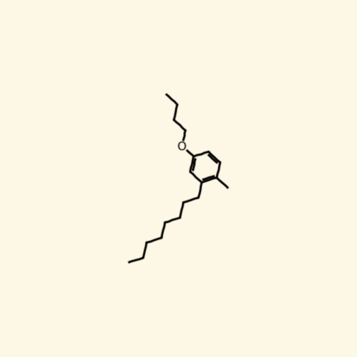 CCCCCCCCc1cc(OCCCC)ccc1C